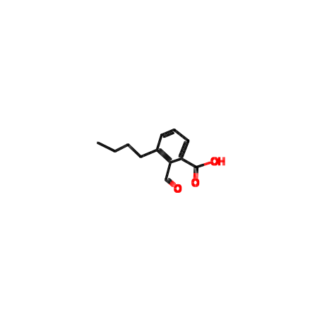 CCCCc1cccc(C(=O)O)c1C=O